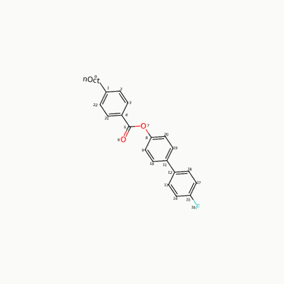 CCCCCCCCc1ccc(C(=O)Oc2ccc(-c3ccc(F)cc3)cc2)cc1